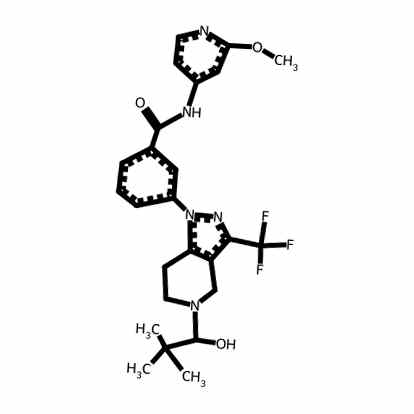 COc1cc(NC(=O)c2cccc(-n3nc(C(F)(F)F)c4c3CCN(C(O)C(C)(C)C)C4)c2)ccn1